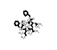 CC[C@H](C)[C@H](NC(=O)[C@@H](CC1OC(C)(C)N(C(=O)OCc2ccccc2)[C@H]1CC(C)C)C(C)C)C(=O)N[C@@H](Cc1ccccc1)C(=O)OC